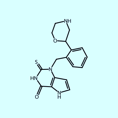 O=c1[nH]c(=S)n(Cc2ccccc2C2CNCCO2)c2cc[nH]c12